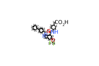 O=C(O)CC1CCC(NC(=O)c2cc(OC(F)F)cc3cnn(Cc4ccc(-c5ccccc5)cc4)c23)CC1